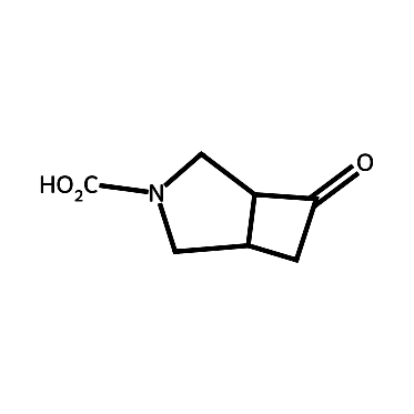 O=C1CC2CN(C(=O)O)CC12